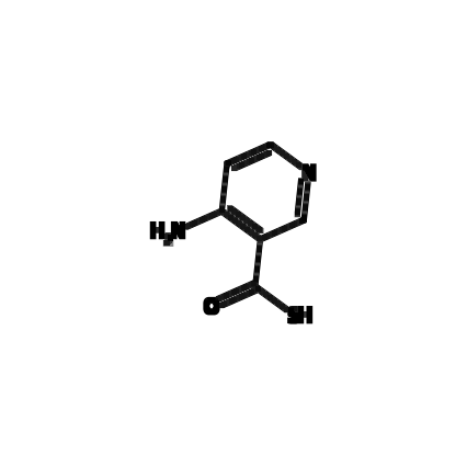 Nc1ccncc1C(=O)S